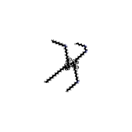 CCCCC/C=C\C/C=C\CCCCCCCC(=O)OC(CO)COC(=O)CCCCCCC/C=C\CCCCCCCC.CCCCCCCC/C=C\CCCCCCCC(=O)OCC(CO)OC(=O)CCCCCCCCCCCCCCC